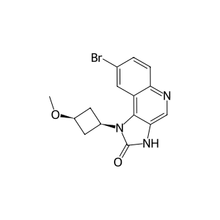 CO[C@H]1C[C@@H](n2c(=O)[nH]c3cnc4ccc(Br)cc4c32)C1